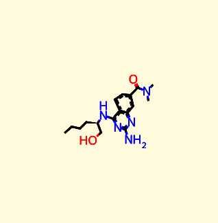 CCCC[C@H](CO)Nc1nc(N)nc2cc(C(=O)N(C)C)ccc12